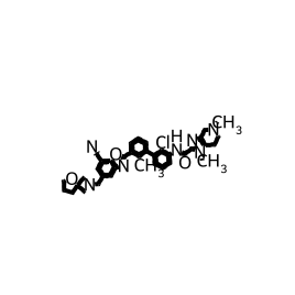 Cc1c(-c2nc3cc(CN4CC5(CCCO5)C4)cc(C#N)c3o2)cccc1-c1cccc(NC(=O)c2nc3c(n2C)CCN(C)C3)c1Cl